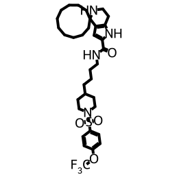 O=C(NCCCCC1CCN(S(=O)(=O)c2ccc(OC(F)(F)F)cc2)CC1)c1cc2c([nH]1)CCNC21CCCCCCCCCC1